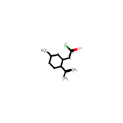 C=C(C)C1CCC(C)CC1CC(=O)Cl